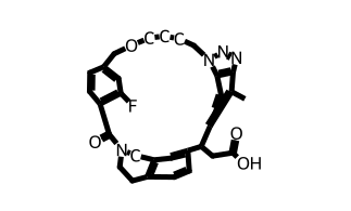 Cc1c2ccc3c1nnn3CCCCOCc1ccc(c(F)c1)C(=O)N1CCc3ccc(cc3C1)C2CC(=O)O